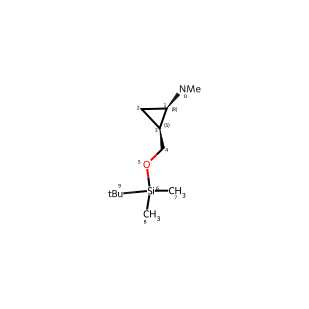 CN[C@@H]1C[C@@H]1CO[Si](C)(C)C(C)(C)C